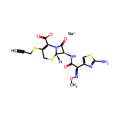 C#CCSC1=C(C(=O)[O-])N2C(=O)[C@@H](NC(=O)/C(=N\OC)c3csc(N)n3)[C@@H]2SC1.[Na+]